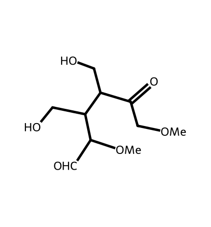 COCC(=O)C(CO)C(CO)C(C=O)OC